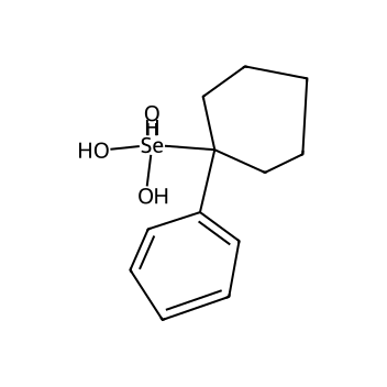 O=[SeH](O)(O)C1(c2ccccc2)CCCCC1